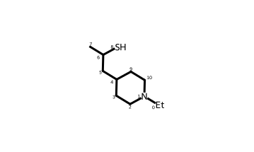 CCN1CCC(CC(C)S)CC1